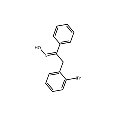 CC(C)c1ccccc1CC(=NO)c1ccccc1